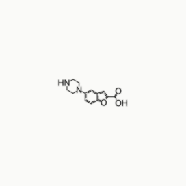 O=C(O)c1cc2cc(N3CCNCC3)ccc2o1